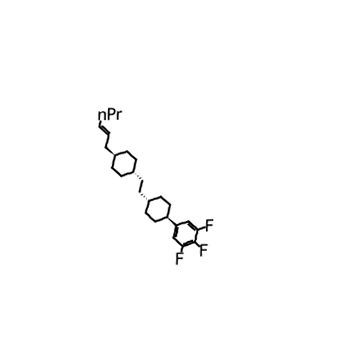 CCC/C=C/C[C@H]1CC[C@H](CC[C@H]2CC[C@H](c3cc(F)c(F)c(F)c3)CC2)CC1